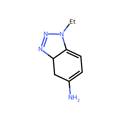 CCN1N=NC2CC(N)=CC=C21